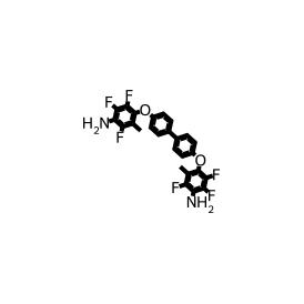 Cc1c(F)c(N)c(F)c(F)c1Oc1ccc(-c2ccc(Oc3c(C)c(F)c(N)c(F)c3F)cc2)cc1